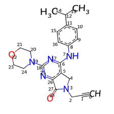 C#CCN1Cc2c(Nc3ccc(C(C)C)cc3)nc(N3CCOCC3)nc2C1=O